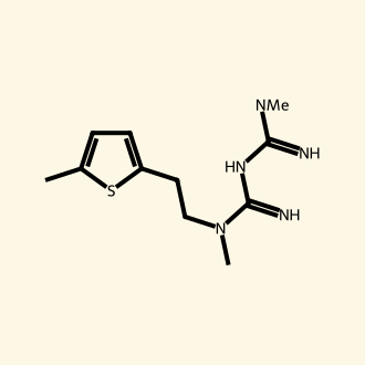 CNC(=N)NC(=N)N(C)CCc1ccc(C)s1